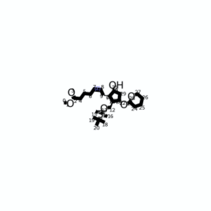 COC(=O)CCC/C=C\C[C@H]1[C@H](CO[Si](C)(C)C(C)(C)C)[C@@H](OC2CCCCO2)C[C@H]1O